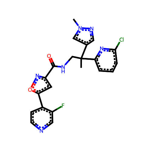 Cn1cc(C(C)(CNC(=O)c2cc(-c3ccncc3F)on2)c2cccc(Cl)n2)cn1